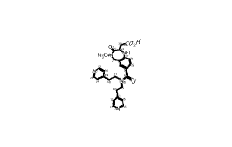 CN1Cc2cc(C(=O)N(CCc3ccncc3)CCc3ccncc3)ccc2NC(CC(=O)O)C1=O